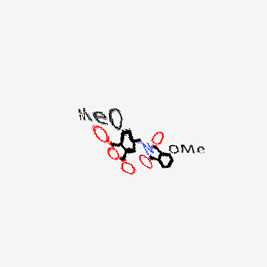 COc1cc(CN2C(=O)c3cccc(OC)c3C2=O)cc2c1C(=O)OC2=O